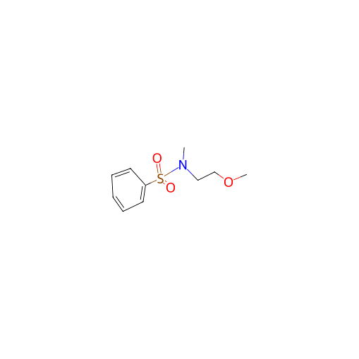 COCCN(C)S(=O)(=O)c1ccccc1